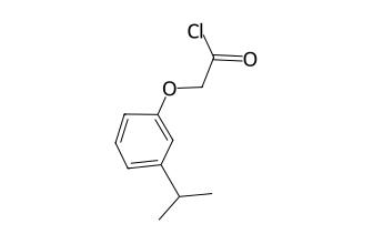 CC(C)c1cccc(OCC(=O)Cl)c1